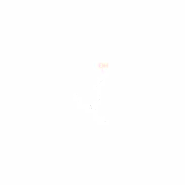 C[CH2][Au]([CH2]C)[CH2]CCO